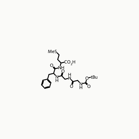 CSCCC(NC(=O)C(Cc1ccccc1)NC(=O)CNC(=O)CNC(=O)OC(C)(C)C)C(=O)O